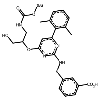 Cc1cccc(C)c1-c1cc(OC(CO)CNC(=O)OC(C)(C)C)nc(NSc2cccc(C(=O)O)c2)n1